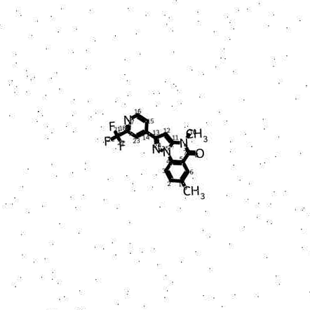 Cc1ccc2c(c1)c(=O)n(C)c1cc(-c3ccnc(C(F)(F)F)c3)nn21